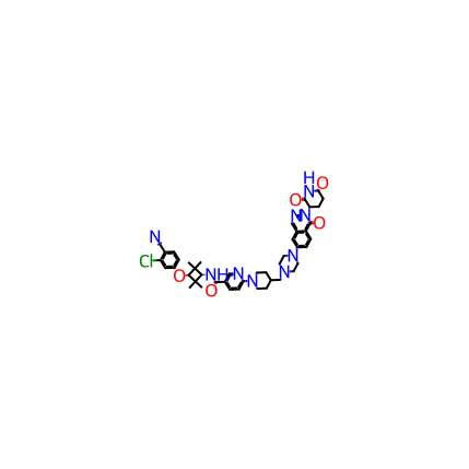 CC1(C)[C@H](NC(=O)c2ccc(N3CCC(CN4CCN(c5ccc6c(=O)n([C@H]7CCC(=O)NC7=O)ncc6c5)CC4)CC3)nc2)C(C)(C)[C@H]1Oc1ccc(C#N)c(Cl)c1